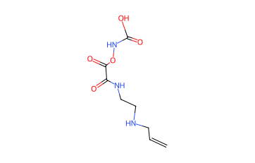 C=CCNCCNC(=O)C(=O)ONC(=O)O